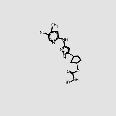 Cc1cc(Nc2cc([C@H]3CC[C@@H](OC(=O)NC(C)C)C3)[nH]n2)ncc1C#N